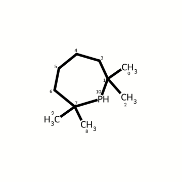 CC1(C)CCCCC(C)(C)P1